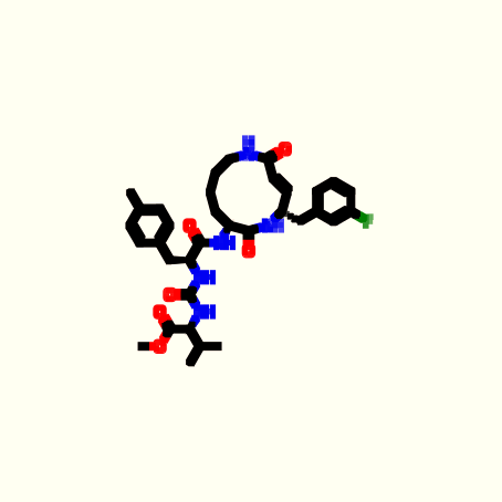 COC(=O)[C@@H](NC(=O)N[C@@H](Cc1ccc(C)cc1)C(=O)N[C@H]1CCCCNC(=O)/C=C/[C@H](Cc2cccc(F)c2)NC1=O)C(C)C